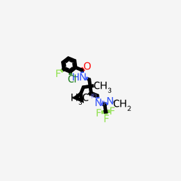 C=N/C(=N\C=C(/C)C(C)(CNC(=O)c1cccc(F)c1Cl)CC1CC1)C(F)(F)F